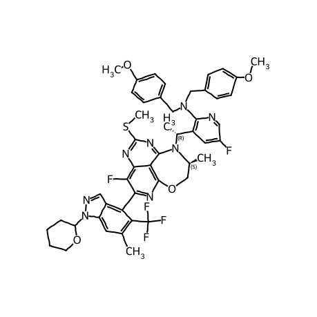 COc1ccc(CN(Cc2ccc(OC)cc2)c2ncc(F)cc2[C@@H](C)N2c3nc(SC)nc4c(F)c(-c5c(C(F)(F)F)c(C)cc6c5cnn6C5CCCCO5)nc(c34)OC[C@@H]2C)cc1